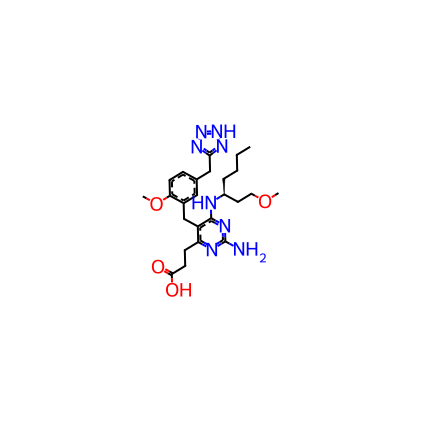 CCCC[C@@H](CCOC)Nc1nc(N)nc(CCC(=O)O)c1Cc1cc(Cc2nn[nH]n2)ccc1OC